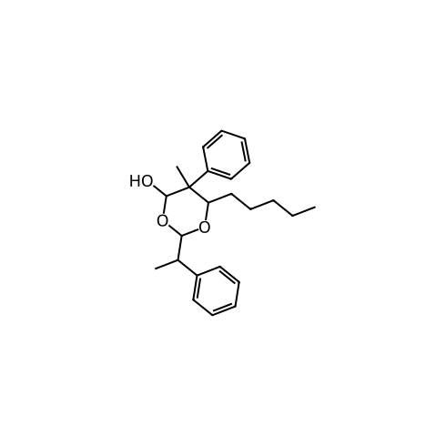 CCCCCC1OC(C(C)c2ccccc2)OC(O)C1(C)c1ccccc1